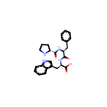 O=C(N[C@H](Cc1c[nH]c2ccccc12)C(=O)O)[C@H](Cc1ccccc1)NC(=O)[C@H]1CCCN1